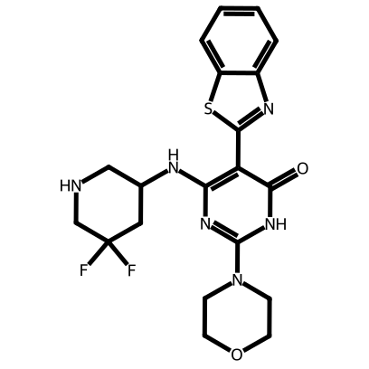 O=c1[nH]c(N2CCOCC2)nc(NC2CNCC(F)(F)C2)c1-c1nc2ccccc2s1